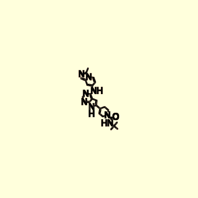 Cc1ncc2cc(Nc3ncnc4[nH]c(C5=CCN(C(=O)NC(C)(C)C)CC5)cc34)ccn12